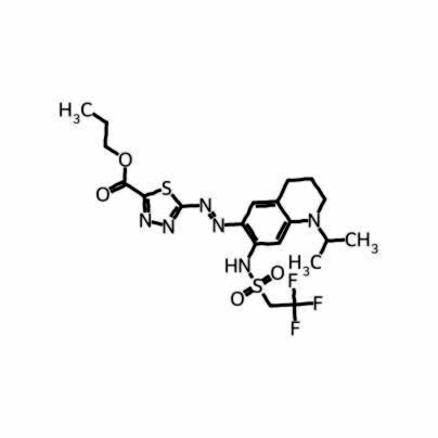 CCCOC(=O)c1nnc(N=Nc2cc3c(cc2NS(=O)(=O)CC(F)(F)F)N(C(C)C)CCC3)s1